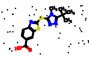 Cn1c(Sc2nc3ccc(C(=O)O)cc3s2)nnc1C(C)(C)C